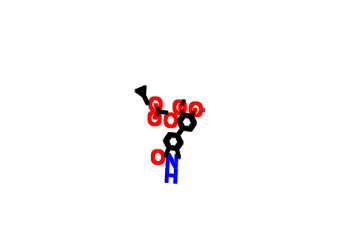 COc1ccc(-c2ccc3c(c2)CNC3=O)c(OCC(=O)OCC2CC2)c1OC